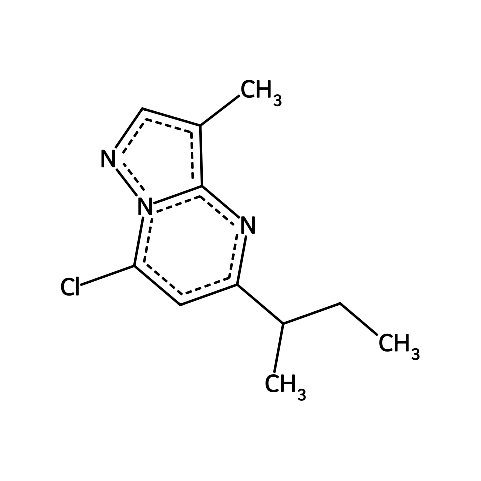 CCC(C)c1cc(Cl)n2ncc(C)c2n1